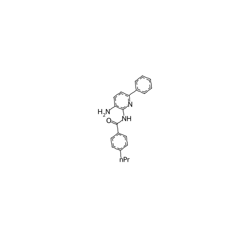 CCCc1ccc(C(=O)Nc2nc(-c3ccccc3)ccc2N)cc1